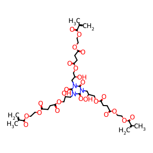 C=C(C)C(=O)OCCOC(=O)CCC(=O)OCC(O)Cn1c(=O)n(CC(O)COC(=O)CCC(=O)OCCOC(=O)C(=C)C)c(=O)n(CC(O)COC(=O)CCC(=O)OCCOC(=O)C(=C)C)c1=O